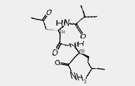 CC(=O)C[C@H](NC(=O)C(C)C)C(=O)N[C@@H](CC(C)C)C(N)=O